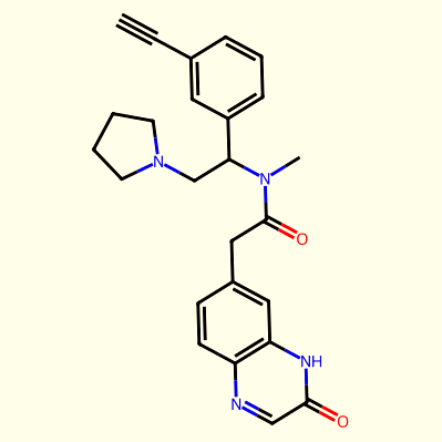 C#Cc1cccc(C(CN2CCCC2)N(C)C(=O)Cc2ccc3ncc(=O)[nH]c3c2)c1